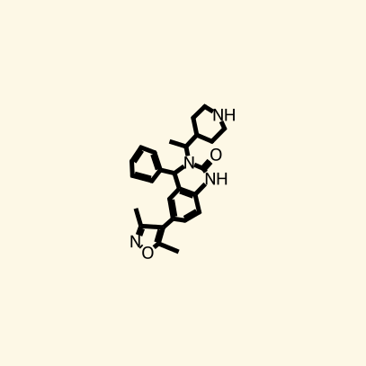 Cc1noc(C)c1-c1ccc2c(c1)C(c1ccccc1)N(C(C)C1CCNCC1)C(=O)N2